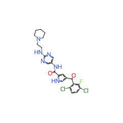 O=C(Nc1cnc(NCCN2CCCCC2)nc1)c1cc(C(=O)c2c(Cl)ccc(Cl)c2F)c[nH]1